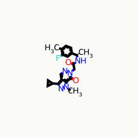 Cc1ccc([C@H](C)NC(=O)Cn2ncc3c(C4CC4)nn(C)c3c2=O)cc1F